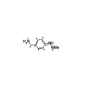 CNNc1ccc(CN)cc1